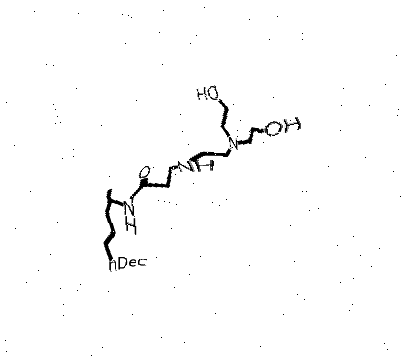 CCCCCCCCCCCCCC(C)NC(=O)CCNCCN(CCO)CCO